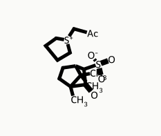 CC(=O)C[S+]1CCCC1.CC12CCC(C(S(=O)(=O)[O-])C1=O)C2(C)C